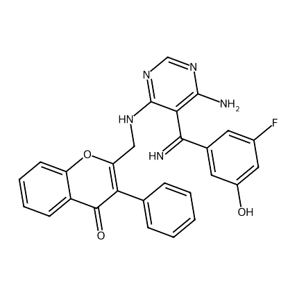 N=C(c1cc(O)cc(F)c1)c1c(N)ncnc1NCc1oc2ccccc2c(=O)c1-c1ccccc1